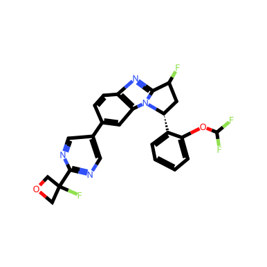 FC(F)Oc1ccccc1[C@H]1CC(F)c2nc3ccc(-c4cnc(C5(F)COC5)nc4)cc3n21